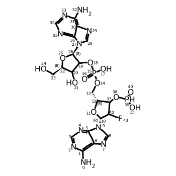 Nc1ncnc2c1ncn2[C@@H]1O[C@H](COP(=O)(O)OC2C(O)[C@@H](CO)O[C@H]2n2cnc3c(N)ncnc32)C(O[PH](=O)O)C1F